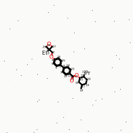 CCC1(COc2ccc(-c3ccc(C(=O)OC4CC(C)CCC4C(C)C)cc3)cc2)COC1